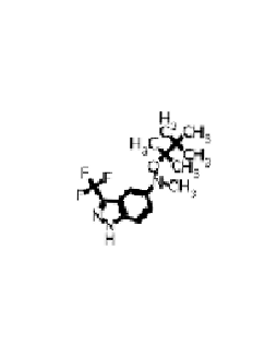 CN(OC(C)(C)C(C)(C)C)c1ccc2[nH]nc(C(F)(F)F)c2c1